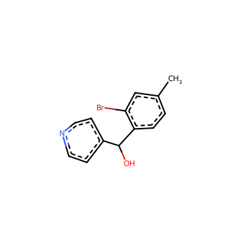 Cc1ccc(C(O)c2ccncc2)c(Br)c1